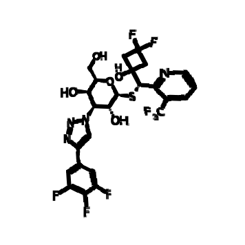 OC[C@H]1O[C@@H](S[C@@H](c2ncccc2C(F)(F)F)C2(O)CC(F)(F)C2)[C@H](O)[C@@H](n2cc(-c3cc(F)c(F)c(F)c3)nn2)[C@H]1O